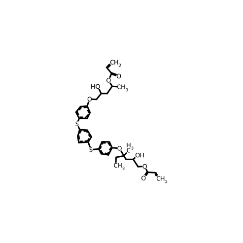 C=CC(=O)OCC(O)CC(C)(CC)Oc1ccc(Sc2ccc(Sc3ccc(OCC(O)CC(C)OC(=O)C=C)cc3)cc2)cc1